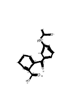 CC(=O)Nc1cccc(C(=O)c2ccccc2C(=O)O)c1